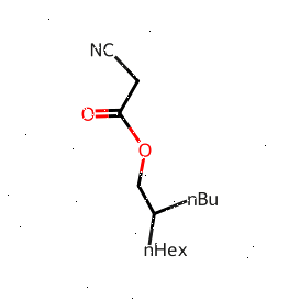 CCCCCCC(CCCC)COC(=O)CC#N